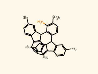 CC(C)(C)c1ccc2c(c1)C(c1ccc(S(=O)(=O)O)c(P)c1C1c3cc(C(C)(C)C)ccc3-c3ccc(C(C)(C)C)cc31)c1cc(C(C)(C)C)ccc1-2